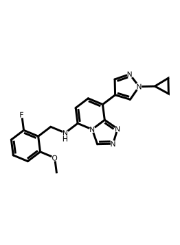 COc1cccc(F)c1CNc1ccc(-c2cnn(C3CC3)c2)c2nncn12